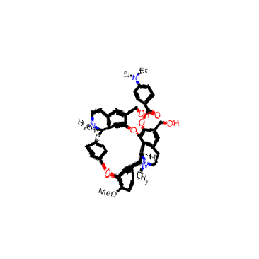 CCN(CC)c1ccc(C(=O)Oc2c(CO)cc3c4c2Oc2cc5c(cc2CO)CCN(C)[C@H]5Cc2ccc(cc2)Oc2cc(ccc2OC)C[C@@H]4N(C)CC3)cc1